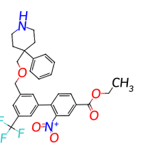 CCOC(=O)c1ccc(-c2cc(COCC3(c4ccccc4)CCNCC3)cc(C(F)(F)F)c2)c([N+](=O)[O-])c1